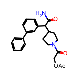 CC(=O)OCC(=O)N1CCC(C(C(N)=O)c2cccc(-c3ccccc3)c2)CC1